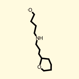 [O]CCCCNCCCC1CCCCO1